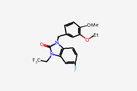 CCOc1cc(Cn2c(=O)n(CC(F)(F)F)c3cc(F)ccc32)ccc1OC